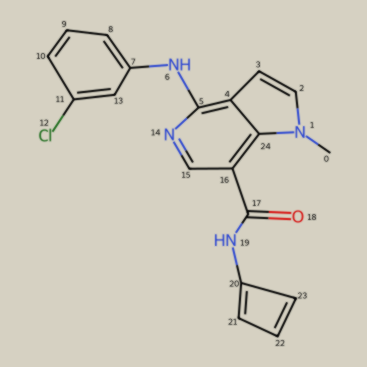 Cn1ccc2c(Nc3cccc(Cl)c3)ncc(C(=O)NC3=CC=C3)c21